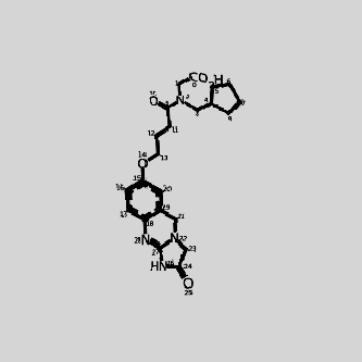 O=C(O)CN(CC1CCCC1)C(=O)CCCOc1ccc2c(c1)CN1CC(=O)NC1=N2